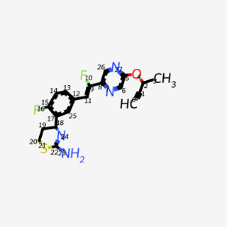 C#CC(C)Oc1cnc(/C(F)=C/c2ccc(F)c(C3CCSC(N)=N3)c2)cn1